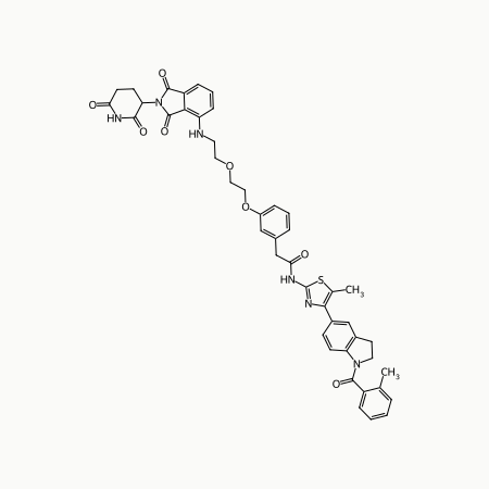 Cc1ccccc1C(=O)N1CCc2cc(-c3nc(NC(=O)Cc4cccc(OCCOCCNc5cccc6c5C(=O)N(C5CCC(=O)NC5=O)C6=O)c4)sc3C)ccc21